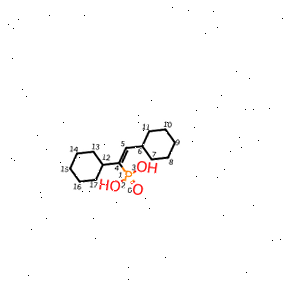 O=P(O)(O)/C(=C\C1CCCCC1)C1CCCCC1